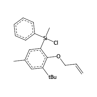 C=CCOc1c(C(C)(C)C)cc(C)cc1[Si](C)(Cl)c1ccccc1